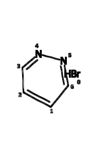 Br.c1ccnnc1